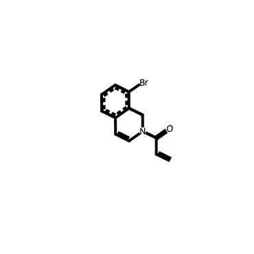 C=CC(=O)N1C=Cc2cccc(Br)c2C1